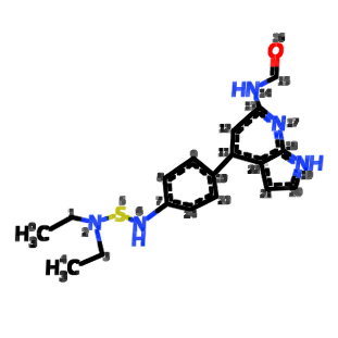 CCN(CC)SNc1ccc(-c2cc(NC=O)nc3[nH]ccc23)cc1